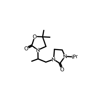 CC(C)N1CCN(CC(C)N2CC(C)(C)OC2=O)C1=O